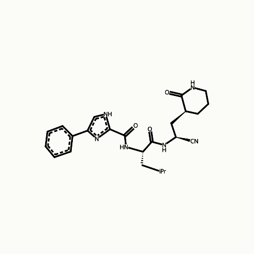 CC(C)C[C@H](NC(=O)c1nc(-c2ccccc2)c[nH]1)C(=O)N[C@H](C#N)C[C@@H]1CCCNC1=O